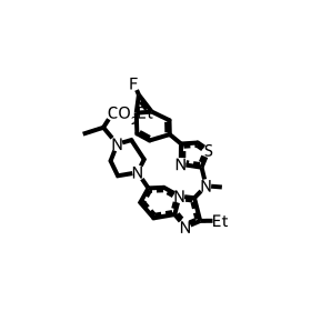 CCOC(=O)C(C)N1CCN(c2ccc3nc(CC)c(N(C)c4nc(C5=CC6=C(F)C6C=C5)cs4)n3c2)CC1